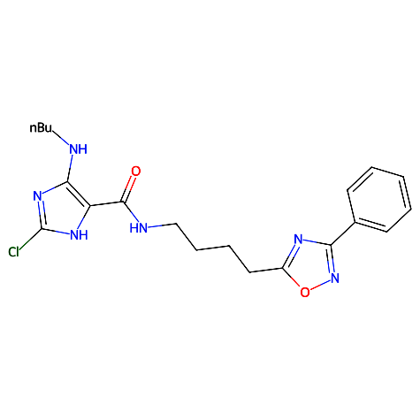 CCCCNc1nc(Cl)[nH]c1C(=O)NCCCCc1nc(-c2ccccc2)no1